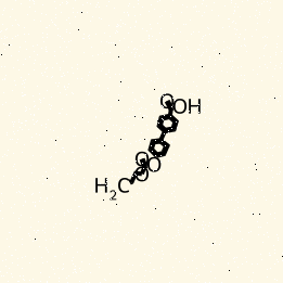 C=CCOC(=O)Oc1ccc(-c2ccc(C(=O)O)cc2)cc1